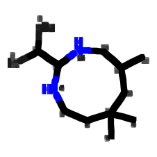 CCCCC(CC)C1NCCC(C)(C)CC(C)CN1